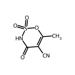 CC1=C(C#N)C(=O)NS(=O)(=O)O1